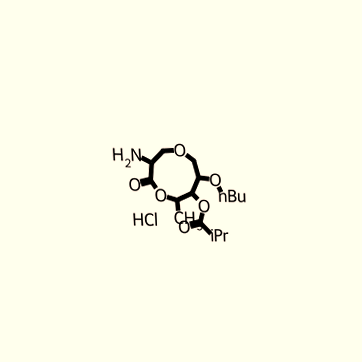 CCCCOC1COCC(N)C(=O)OC(C)C1OC(=O)C(C)C.Cl